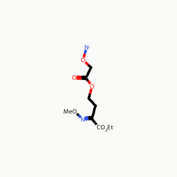 CCOC(=O)C(CCOC(=O)CO[N])=NOC